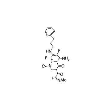 CNNC(=O)c1cn(C2CC2)c2c(F)c(NCCCc3ccccc3)c(F)c(N)c2c1=O